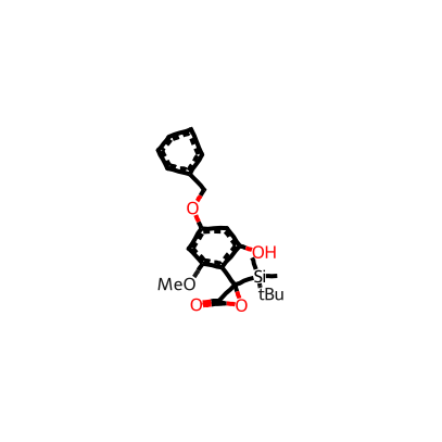 COc1cc(OCc2ccccc2)cc(O)c1C1([Si](C)(C)C(C)(C)C)OC1=O